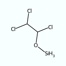 [SiH3]OC(Cl)C(Cl)Cl